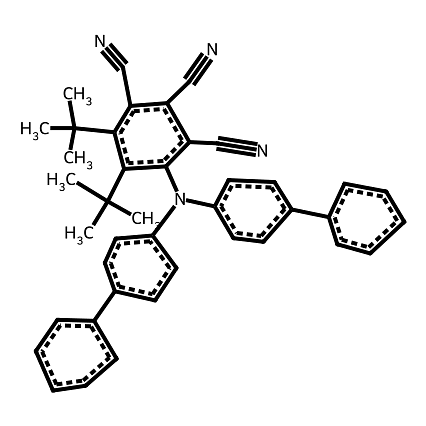 CC(C)(C)c1c(C#N)c(C#N)c(C#N)c(N(c2ccc(-c3ccccc3)cc2)c2ccc(-c3ccccc3)cc2)c1C(C)(C)C